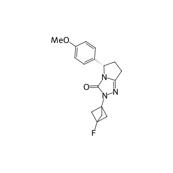 COc1ccc([C@@H]2CCc3nn(C45CC(F)(C4)C5)c(=O)n32)cc1